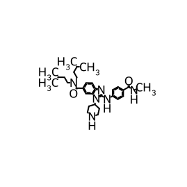 CNC(=O)c1ccc(Nc2nc3ccc(C(=O)N(CCC(C)C)CCC(C)C)cc3n2C2CCNCC2)cc1